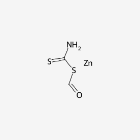 NC(=S)SC=O.[Zn]